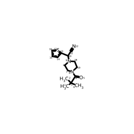 CC(C)(C)C(=O)N1CCN(C(C#N)c2cccs2)CC1